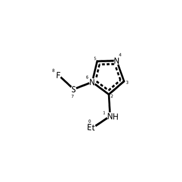 CCNc1cncn1SF